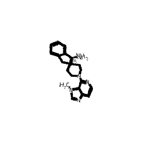 CN1C=NC2C=CN=C(N3CCC4(CC3)Cc3ccccc3[C@H]4N)C21